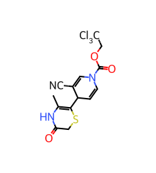 CC1=C(C2C=CN(C(=O)OCC(Cl)(Cl)Cl)C=C2C#N)SCC(=O)N1